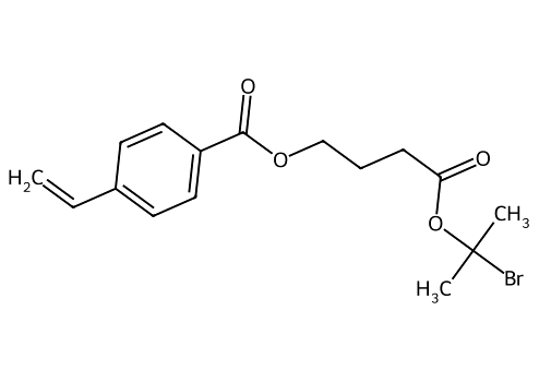 C=Cc1ccc(C(=O)OCCCC(=O)OC(C)(C)Br)cc1